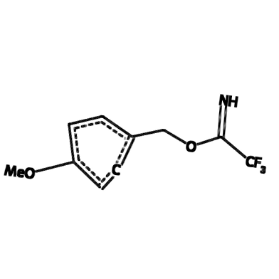 COc1ccc(COC(=N)C(F)(F)F)cc1